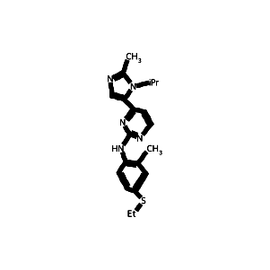 CCSc1ccc(Nc2nccc(-c3cnc(C)n3C(C)C)n2)c(C)c1